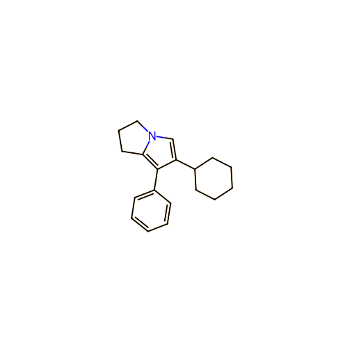 c1ccc(-c2c(C3CCCCC3)cn3c2CCC3)cc1